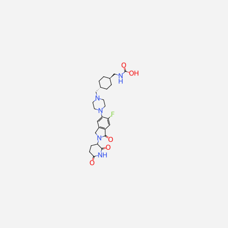 O=C(O)NC[C@H]1CC[C@H](CN2CCN(c3cc4c(cc3F)C(=O)N(C3CCC(=O)NC3=O)C4)CC2)CC1